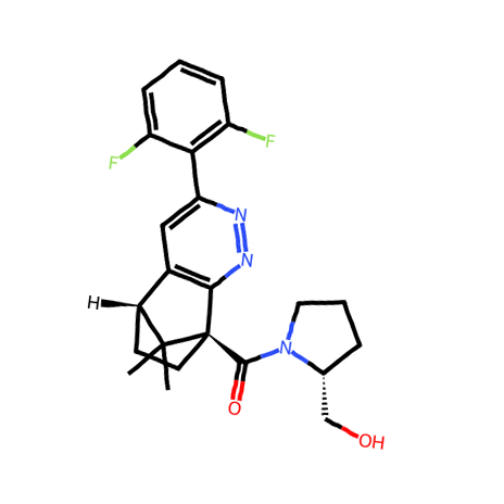 CC1(C)[C@@H]2CC[C@@]1(C(=O)N1CCC[C@@H]1CO)c1nnc(-c3c(F)cccc3F)cc12